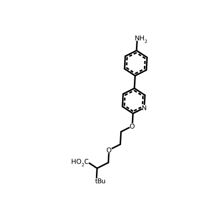 CC(C)(C)C(COCCOc1ccc(-c2ccc(N)cc2)cn1)C(=O)O